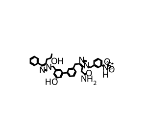 CC(O)Cc1c(-c2ccccc2)ncn1Cc1cc(O)cc(-c2cccc(Cc3ncn(Cc4cccc(NS(C)(=O)=O)c4)c3CC(N)=O)c2)c1